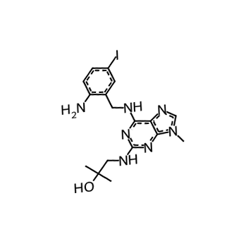 Cn1cnc2c(NCc3cc(I)ccc3N)nc(NCC(C)(C)O)nc21